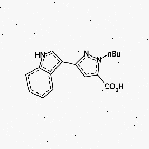 CCCCn1nc(-c2c[nH]c3ccccc23)cc1C(=O)O